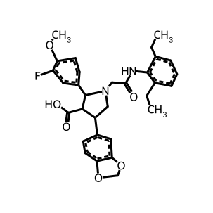 CCc1cccc(CC)c1NC(=O)CN1CC(c2ccc3c(c2)OCO3)C(C(=O)O)C1c1ccc(OC)c(F)c1